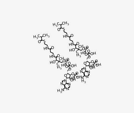 CC(C)C(=O)SCCNC(=O)CCNC(=O)[C@H](O)C(C)(C)COP(=O)(O)OP(=O)(O)OC[C@H]1O[C@@H](n2cnc3c(N)ncnc32)[C@H](O)[C@@H]1OP(=O)(O)O.CC(C)C(=O)SCCNC(=O)CCNC(=O)[C@H](O)C(C)(C)COP(=O)(O)OP(=O)(O)OC[C@H]1O[C@@H](n2cnc3c(N)ncnc32)[C@H](O)[C@@H]1OP(=O)(O)O